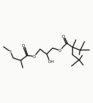 CSCC(C)C(=O)OCC(O)COC(=O)C(C)(CC(C)(C)C)C(C)(C)C